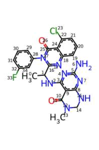 CC(Nc1nc(N)nc2c1C(=O)N(C)CN2)c1nc2cccc(Cl)c2c(=O)n1-c1cccc(F)c1